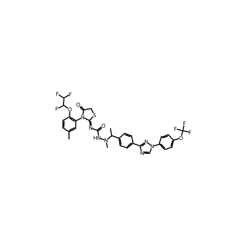 Cc1ccc(OC(F)C(F)F)c(N2C(=O)CSC2=NC(=O)NN(C)C(C)c2ccc(-c3ncn(-c4ccc(OC(F)(F)F)cc4)n3)cc2)c1